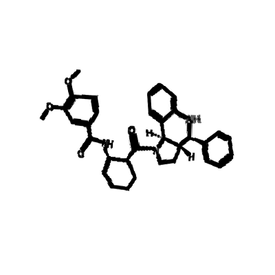 COc1ccc(C(=O)N[C@@H]2CCCC[C@@H]2C(=O)N2CC[C@H]3[C@H](c4ccccc4)Nc4ccccc4[C@@H]32)cc1OC